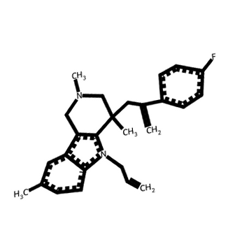 C=CCn1c2c(c3cc(C)ccc31)CN(C)CC2(C)CC(=C)c1ccc(F)cc1